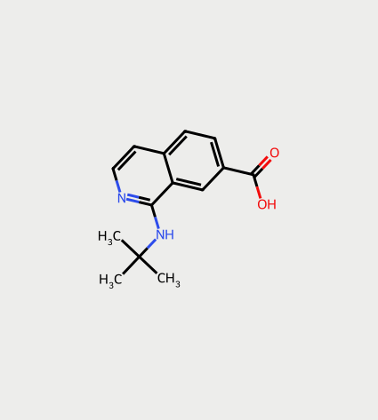 CC(C)(C)Nc1nccc2ccc(C(=O)O)cc12